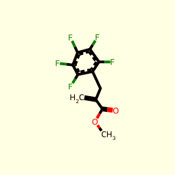 C=C(Cc1c(F)c(F)c(F)c(F)c1F)C(=O)OC